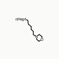 CCCCCCCCCCCCCN1CCOCC1